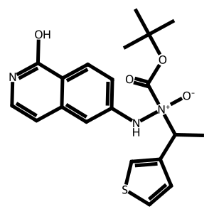 CC(c1ccsc1)[N+]([O-])(Nc1ccc2c(O)nccc2c1)C(=O)OC(C)(C)C